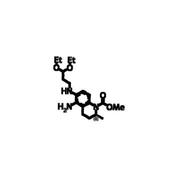 CCOC(CCNc1ccc2c(c1N)CC[C@H](C)N2C(=O)OC)OCC